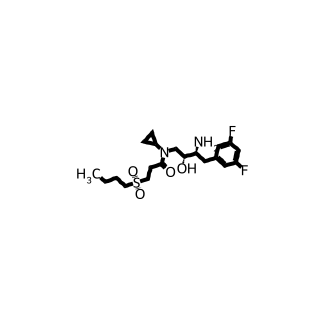 CCCCS(=O)(=O)CCC(=O)N(C[C@@H](O)[C@@H](N)Cc1cc(F)cc(F)c1)C1CC1